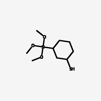 CO[Si](OC)(OC)C1CCCC(S)C1